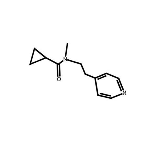 CN(CCc1ccncc1)C(=O)C1CC1